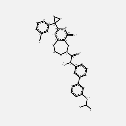 CC(C)Oc1cccc(-c2cccc(C(O)C(=O)N3CCCc4nc(C5(c6cccc(Cl)c6)CC5)[nH]c(=O)c4C3)c2)c1